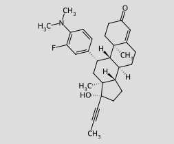 CC#C[C@]1(O)CC[C@H]2[C@@H]3CCC4=CC(=O)CC[C@]4(C)[C@H]3[C@@H](c3ccc(N(C)C)c(F)c3)C[C@@]21C